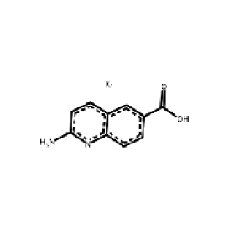 Nc1ccc2cc(C(=O)O)ccc2n1.[K]